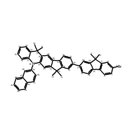 CC1(C)c2cc(Br)ccc2-c2ccc(-c3ccc4c(c3)C(C)(C)c3cc5c(cc3-4)C(C)(C)c3ccccc3N5c3ccc4ccccc4c3)cc21